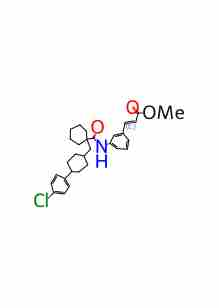 COC(=O)/C=C/c1cccc(NC(=O)C2(CC3CCC(c4ccc(Cl)cc4)CC3)CCCCC2)c1